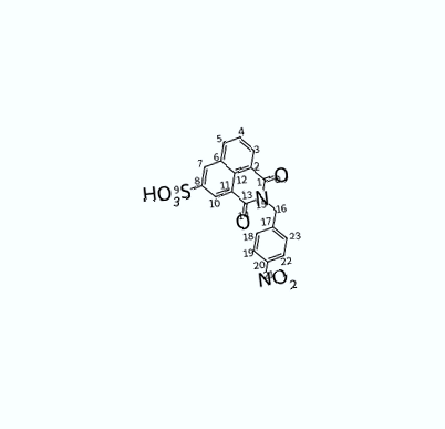 O=C1c2cccc3cc(S(=O)(=O)O)cc(c23)C(=O)N1Cc1ccc([N+](=O)[O-])cc1